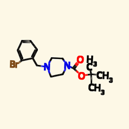 CC(C)(C)OC(=O)N1CCN(Cc2ccccc2Br)CC1